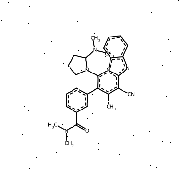 Cc1c(-c2cccc(C(=O)N(C)C)c2)c(N2CCCC2N(C)C)n2c(nc3ccccc32)c1C#N